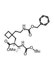 COC(=O)[C@@H](CC1(CCNC(=O)OCc2ccccc2)CCC1)[C@@H](C)NC(=O)OC(C)(C)C